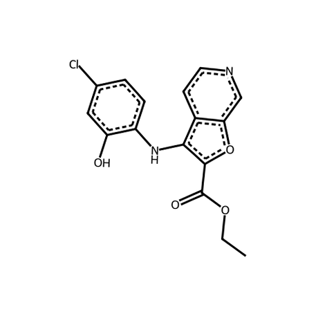 CCOC(=O)c1oc2cnccc2c1Nc1ccc(Cl)cc1O